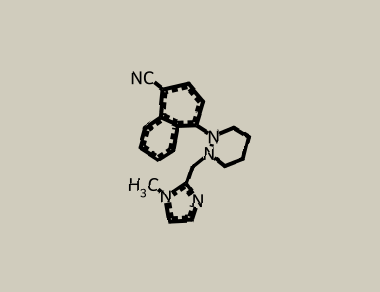 Cn1ccnc1CN1CCCCN1c1ccc(C#N)c2ccccc12